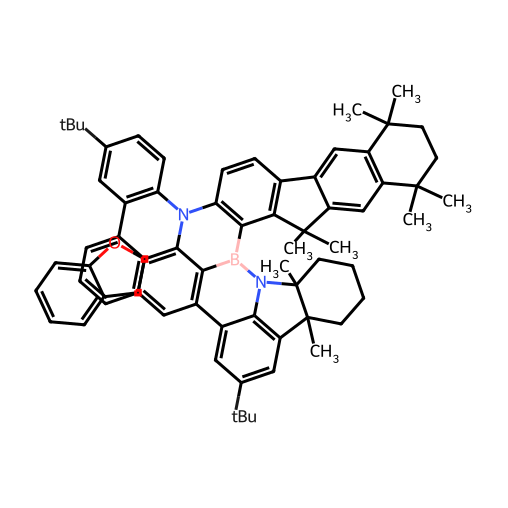 CC(C)(C)c1ccc(N2c3ccc4c(c3B3c5c(cc6c(oc7ccccc76)c52)-c2cc(C(C)(C)C)cc5c2N3C2(C)CCCCC52C)C(C)(C)c2cc3c(cc2-4)C(C)(C)CCC3(C)C)c(-c2ccccc2)c1